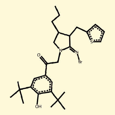 CCCC1CN(CC(=O)c2cc(C(C)(C)C)c(O)c(C(C)(C)C)c2)/C(=N\Br)C1Cc1cccs1